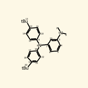 CN(C)c1cccc(N(c2ccc(C(C)(C)C)cc2)c2ccc(C(C)(C)C)cc2)c1